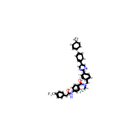 CC[C@H]1CC[C@H](C2CC=C(c3cnc(-c4ccc(CN(CC(=O)O)C(=O)c5ccc(NC(=O)Cc6ccc(C(F)(F)F)cc6)cc5)cc4)nc3)CC2)CC1